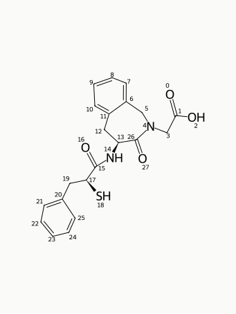 O=C(O)CN1Cc2ccccc2C[C@H](NC(=O)[C@@H](S)Cc2ccccc2)C1=O